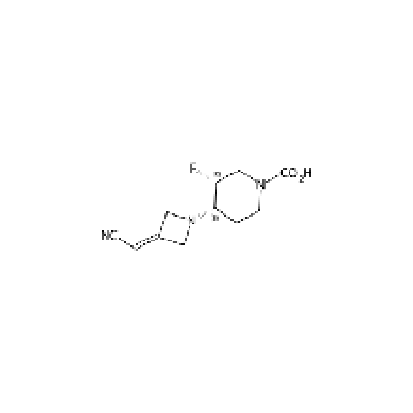 N#CC=C1CN([C@H]2CCN(C(=O)O)C[C@H]2F)C1